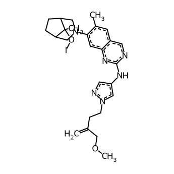 C=C(CCn1cc(Nc2ncc3cc(C)c(N4CC5CCC(C4)C5(C)OI)cc3n2)cn1)COC